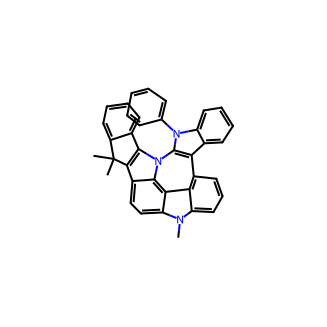 Cn1c2cccc3c2c2c1ccc1c4c(n(c12)c1c3c2ccccc2n1-c1ccccc1)-c1ccccc1C4(C)C